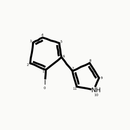 Ic1ccccc1-c1cc[nH]c1